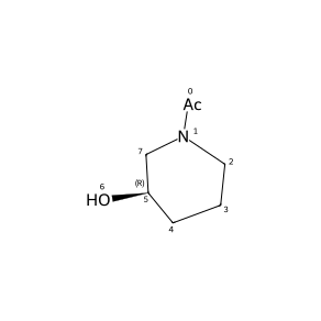 CC(=O)N1CCC[C@@H](O)C1